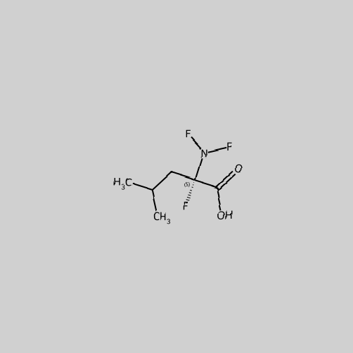 CC(C)C[C@](F)(C(=O)O)N(F)F